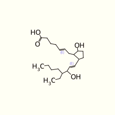 CCCCC(CC)C(O)/C=C/C1CCC(O)C1C/C=C/CCCC(=O)O